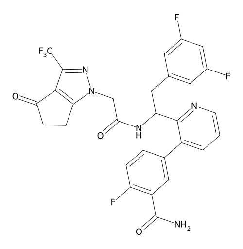 NC(=O)c1cc(-c2cccnc2C(Cc2cc(F)cc(F)c2)NC(=O)Cn2nc(C(F)(F)F)c3c2CCC3=O)ccc1F